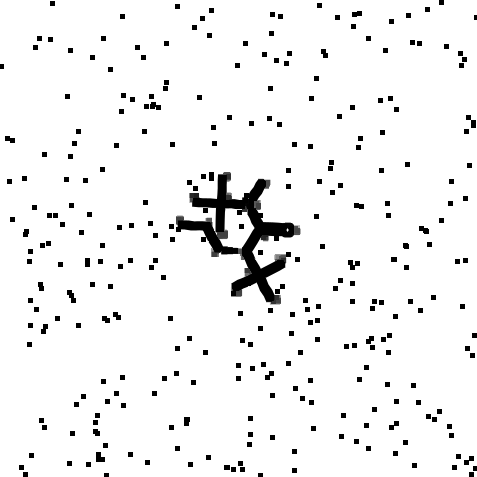 CCC[C@H](C(=O)N(C)C(C)(C)C)C(C)(C)C